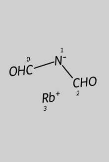 O=C[N-]C=O.[Rb+]